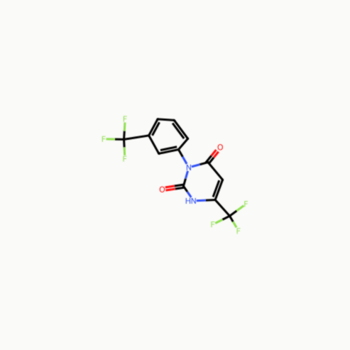 O=c1cc(C(F)(F)F)[nH]c(=O)n1-c1cccc(C(F)(F)F)c1